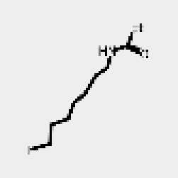 CCC(=O)NCCCCCCCI